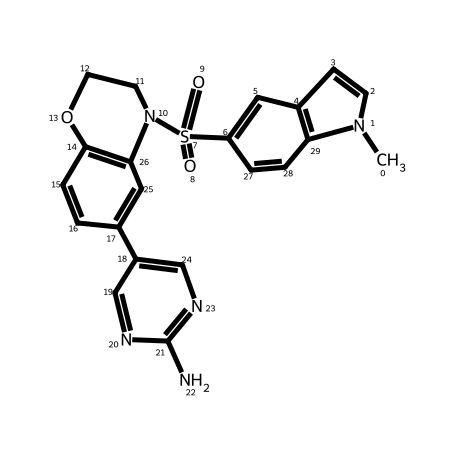 Cn1ccc2cc(S(=O)(=O)N3CCOc4ccc(-c5cnc(N)nc5)cc43)ccc21